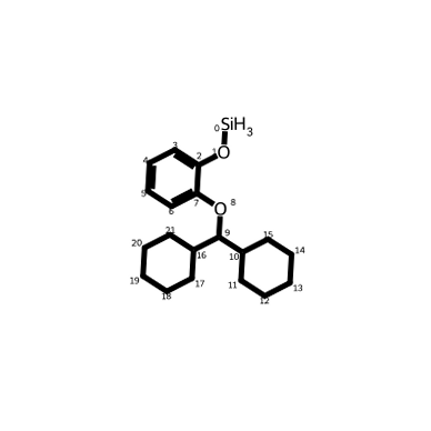 [SiH3]Oc1ccccc1OC(C1CCCCC1)C1CCCCC1